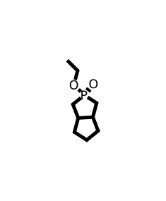 CCOP1(=O)CC2CCCC2C1